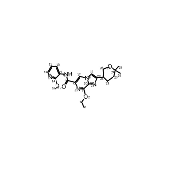 CCOc1nc(C(=O)Nc2cccnc2OC)cn2cc(C3CCC(C)(C)OC3)nc12